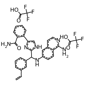 C=Cc1cccc(C(Nc2ccc3c(N)nccc3c2)c2nc(-c3ccccc3C(N)=O)c[nH]2)c1.O=C(O)C(F)(F)F.O=C(O)C(F)(F)F